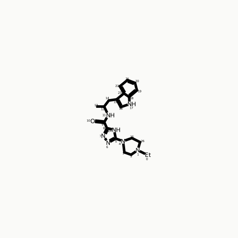 CCN1CCN(c2nnc(C(=O)NC(C)Cc3c[nH]c4ccccc34)[nH]2)CC1